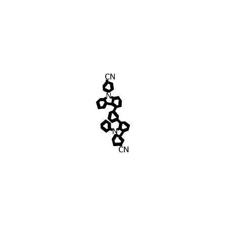 N#Cc1ccc(-n2c3ccccc3c3c(-c4cccc(-c5cccc6c7cc(C#N)ccc7n(-c7ccccc7)c56)c4)cccc32)cc1